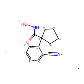 N#Cc1ccccc1C1(C(=O)NO)CCCC1